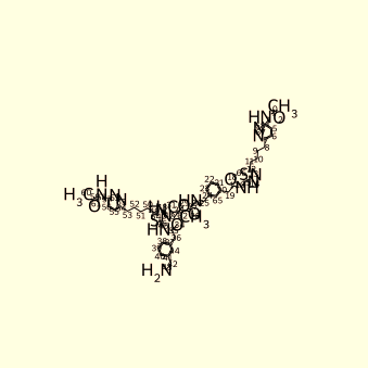 CC(=O)Nc1ccc(CCCCc2nnc(NC(=O)Cc3cccc(CNC(=O)OC(C)(C)COC(Cc4cccc(CN)c4)Nc4nnc(CCCCc5ccc(NC(C)=O)nn5)s4)c3)s2)nn1